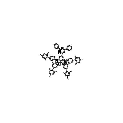 Cc1cc(C)c(-c2ccc3c(c2)c2cc(-c4c(C)cc(C)cc4C)ccc2n3-c2cc(-c3cc(-c4ccccc4)nc(-c4ccccc4)n3)cc(-n3c4ccc(-c5c(C)cc(C)cc5C)cc4c4cc(-c5c(C)cc(C)cc5C)ccc43)c2C#N)c(C)c1